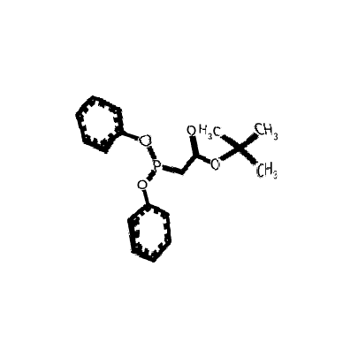 CC(C)(C)OC(=O)CP(Oc1ccccc1)Oc1ccccc1